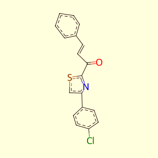 O=C(C=Cc1ccccc1)c1nc(-c2ccc(Cl)cc2)cs1